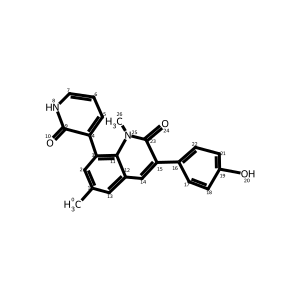 Cc1cc(-c2ccc[nH]c2=O)c2c(c1)cc(-c1ccc(O)cc1)c(=O)n2C